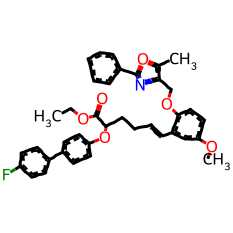 CCOC(=O)C(CC/C=C/c1cc(OC)ccc1OCc1nc(-c2ccccc2)oc1C)Oc1ccc(-c2ccc(F)cc2)cc1